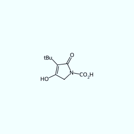 CC(C)(C)C1=C(O)CN(C(=O)O)C1=O